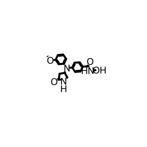 COc1cccc(N(c2ccc(C(=O)NO)cc2)C2CNC(=O)C2)c1